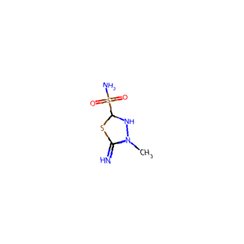 CN1NC(S(N)(=O)=O)SC1=N